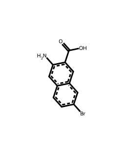 Nc1cc2ccc(Br)cc2cc1C(=O)O